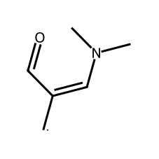 [CH2]C(C=O)=CN(C)C